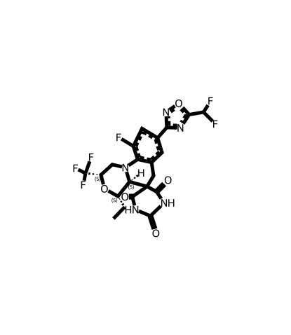 CC[C@@H]1O[C@H](C(F)(F)F)CN2c3c(F)cc(-c4noc(C(F)F)n4)cc3CC3(C(=O)NC(=O)NC3=O)[C@@H]12